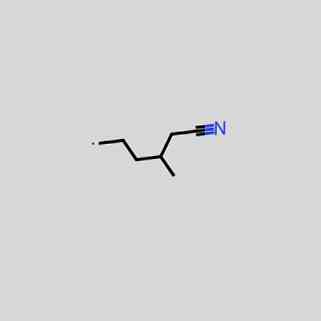 [CH2]CCC(C)CC#N